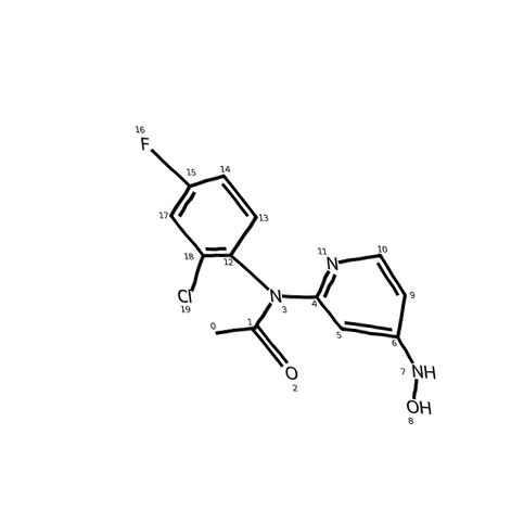 CC(=O)N(c1cc(NO)ccn1)c1ccc(F)cc1Cl